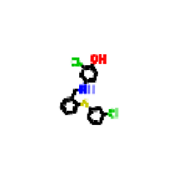 Oc1ccc(NCc2ccccc2Sc2cccc(Cl)c2)cc1Cl